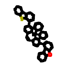 C1#Cc2ccc(-c3cccc4oc5ccccc5c34)cc2[Si](c2ccccc2)(c2ccccc2)c2cc(-c3cccc4c3sc3ccccc34)ccc21